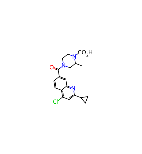 CC1CN(C(=O)c2ccc3c(Cl)cc(C4CC4)nc3c2)CCN1C(=O)O